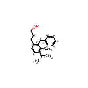 Cc1c(C(C)C)c[c]c(CCCO)c1Cc1ccccc1